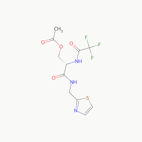 CC(=O)OC[C@H](NC(=O)C(F)(F)F)C(=O)NCc1nccs1